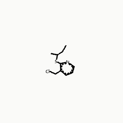 CCC(C)Sc1ncccc1CCl